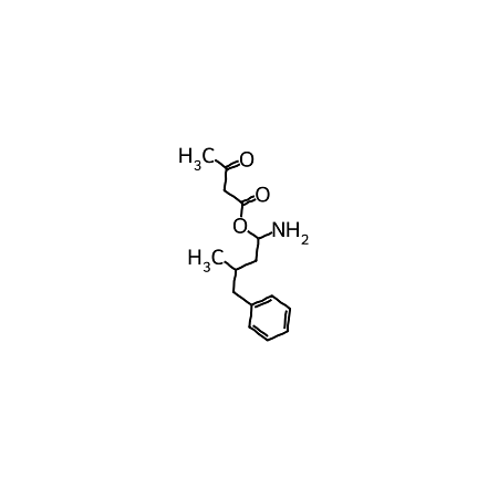 CC(=O)CC(=O)OC(N)CC(C)Cc1ccccc1